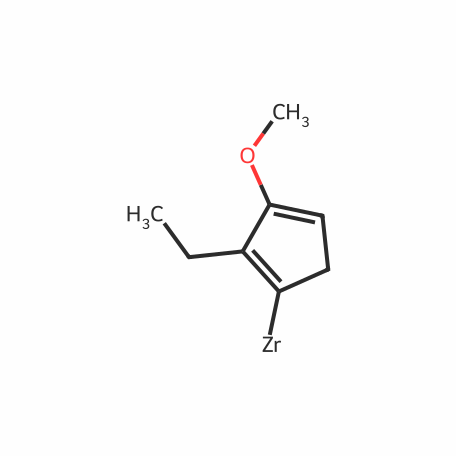 CCC1=[C]([Zr])CC=C1OC